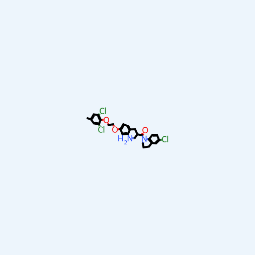 Cc1cc(Cl)c(OCCOc2ccc(CC(CN)C(=O)N3CCCc4cc(Cl)ccc43)cc2)c(Cl)c1